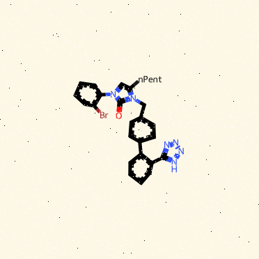 CCCCCc1cn(-c2ccccc2Br)c(=O)n1Cc1ccc(-c2ccccc2-c2nnn[nH]2)cc1